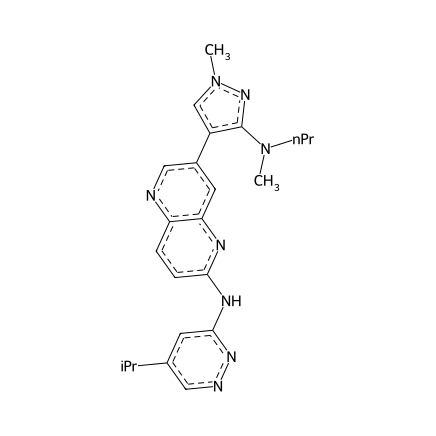 CCCN(C)c1nn(C)cc1-c1cnc2ccc(Nc3cc(C(C)C)cnn3)nc2c1